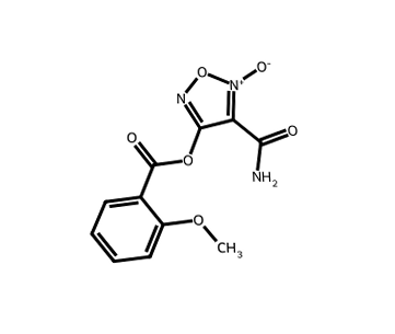 COc1ccccc1C(=O)Oc1no[n+]([O-])c1C(N)=O